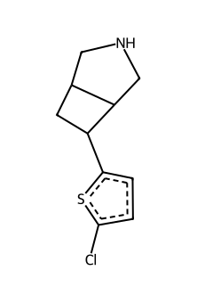 Clc1ccc(C2CC3CNCC32)s1